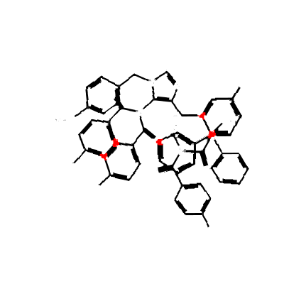 COc1ccc(Cn2cnc([C@@H](CN(C(=O)c3ccc(Cl)cc3)C(=O)c3ccc(Cl)cc3)O[Si](c3ccccc3)(c3ccccc3)C(C)(C)C)c2N(C(=O)c2ccc(Cl)cc2)C(=O)c2ccc(Cl)cc2)cc1